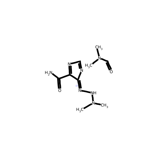 CN(C)C=O.CN(C)N/N=C1\N=CN=C1C(N)=O